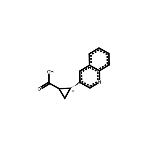 O=C(O)C1C[C@H]1c1cnc2ccccc2c1